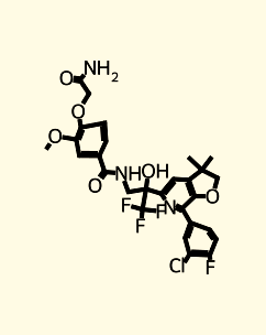 COc1cc(C(=O)NCC(O)(c2cc3c(c(-c4ccc(F)c(Cl)c4)n2)OCC3(C)C)C(F)(F)F)ccc1OCC(N)=O